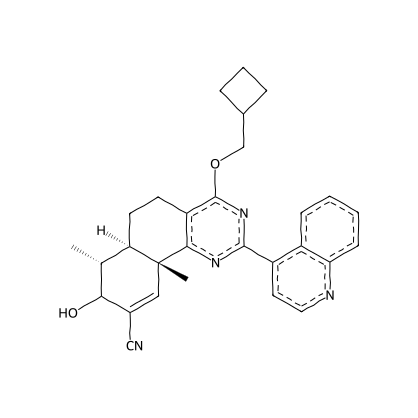 C[C@H]1C(O)C(C#N)=C[C@@]2(C)c3nc(-c4ccnc5ccccc45)nc(OCC4CCC4)c3CC[C@H]12